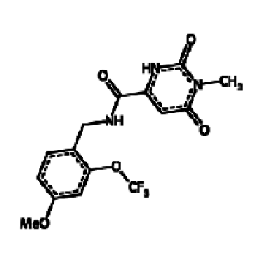 COc1ccc(CNC(=O)c2cc(=O)n(C)c(=O)[nH]2)c(OC(F)(F)F)c1